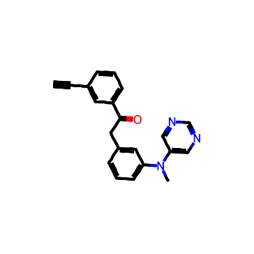 C#Cc1cccc(C(=O)Cc2cccc(N(C)c3cncnc3)c2)c1